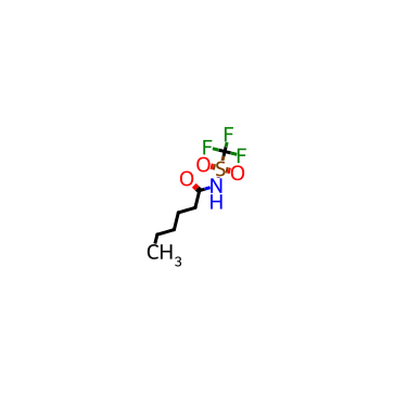 CCCCCC(=O)NS(=O)(=O)C(F)(F)F